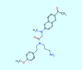 COc1ccc(CCN(CCCN)C(=O)CN(C)c2ccc3cc(C(C)=O)ccc3c2)cc1